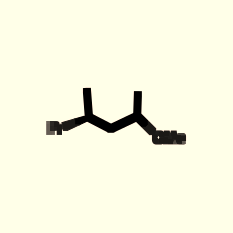 COC(C)C[C@H](C)C(C)C